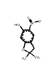 CC1(C)Cc2cc([N+](=O)[O-])c(O)cc2O1